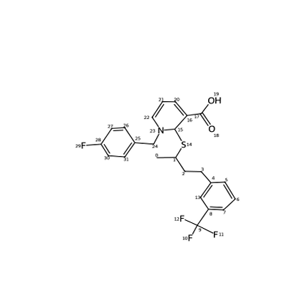 CC(CCc1cccc(C(F)(F)F)c1)SC1C(C(=O)O)=CC=CN1Cc1ccc(F)cc1